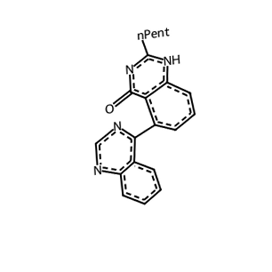 CCCCCc1nc(=O)c2c(-c3ncnc4ccccc34)cccc2[nH]1